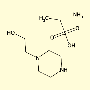 CCS(=O)(=O)O.N.OCCN1CCNCC1